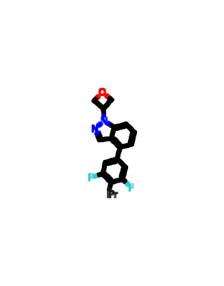 CC(C)c1c(F)cc(-c2cccc3c2cnn3C2COC2)cc1F